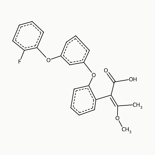 COC(C)=C(C(=O)O)c1ccccc1Oc1cccc(Oc2ccccc2F)c1